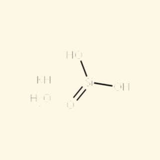 O.O=[Si](O)O.[KH]